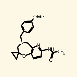 COc1ccc(CN2Cc3nc(NC(=O)C(F)(F)F)ccc3OC3(CC3)C2)cc1